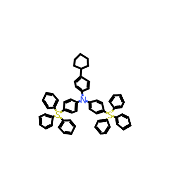 c1ccc(S(c2ccccc2)(c2ccccc2)c2ccc(N(c3ccc(C4CCCCC4)cc3)c3ccc(S(c4ccccc4)(c4ccccc4)c4ccccc4)cc3)cc2)cc1